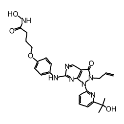 C=CCn1c(=O)c2cnc(Nc3ccc(OCCCC(=O)NO)cc3)nc2n1-c1cccc(C(C)(C)O)n1